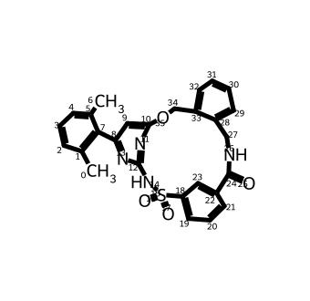 Cc1cccc(C)c1-c1cc2nc(n1)NS(=O)(=O)c1cccc(c1)C(=O)NCc1ccccc1CO2